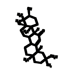 CC1(C)[C@@H](O)CC[C@]2(C)[C@H]3C(=O)C=C4C(CC[C@@]5(C)CC[C@](C)(C(=O)O)C[C@@H]45)C3CC[C@@H]12